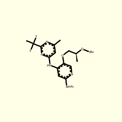 CC(=O)Nc1cc(Nc2cc(C)nc(C(C)(F)F)n2)c(OC[C@H](C)OC(C)(C)C)cn1